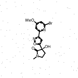 COc1cc(Br)nc(-c2cc([C@]3(O)CCN(C)C3=O)on2)c1